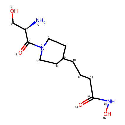 N[C@H](CO)C(=O)N1CCC(CCCC(=O)NO)CC1